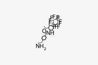 CCc1cc(C2(F)C(F)(F)C(F)(F)C(F)(F)C(F)(F)C2(F)F)cc(C)c1NC(=O)c1ccc(CCN)cc1